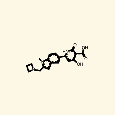 Cn1c(CN2CCC2)cc2cc(-c3cc(O)c(C(=O)O)c(=O)[nH]3)ccc21